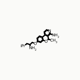 CC(C)CC(N)COc1ccc2c(c1)OC(C)c1c-2ccnc1N